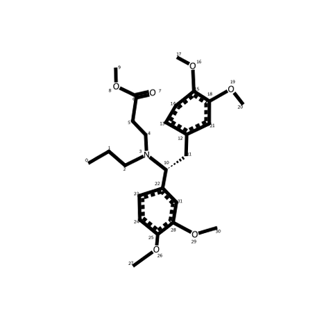 CCCN(CCC(=O)OC)[C@H](Cc1ccc(OC)c(OC)c1)c1ccc(OC)c(OC)c1